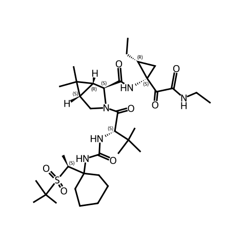 CCNC(=O)C(=O)[C@]1(NC(=O)[C@@H]2[C@@H]3[C@H](CN2C(=O)[C@@H](NC(=O)NC2([C@H](C)S(=O)(=O)C(C)(C)C)CCCCC2)C(C)(C)C)C3(C)C)C[C@H]1CC